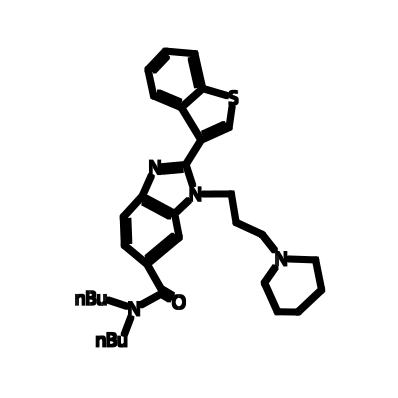 CCCCN(CCCC)C(=O)c1ccc2nc(-c3csc4ccccc34)n(CCCN3CCCCC3)c2c1